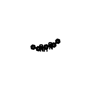 c1ccc(-c2ccc3c(c2)OC(c2ccc(-c4nc5ccc(-c6ccccc6)cc5o4)cc2)N3)cc1